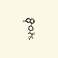 CON(C)C(=O)C(C)[C@H]1CC[C@@H](c2ccnc3ccc(F)cc32)CC1